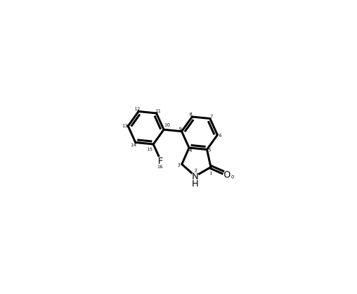 O=C1NCc2c1cccc2-c1ccccc1F